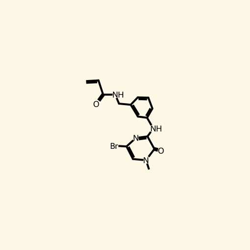 C=CC(=O)NCc1cccc(Nc2nc(Br)cn(C)c2=O)c1